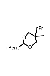 CCCCCC1OCC(C)(CCC)CO1